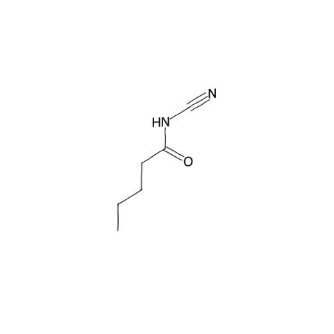 CCCCC(=O)NC#N